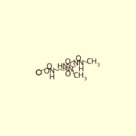 CCCNC(=O)N1CCC2(CC1)C(=O)N[C@@H](CCCCNC(=O)OCc1ccccc1)C(=O)N2CCC